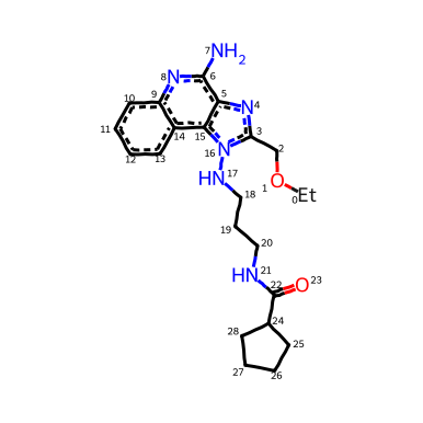 CCOCc1nc2c(N)nc3ccccc3c2n1NCCCNC(=O)C1CCCC1